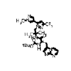 Cn1cc(-c2cc(C(F)(F)F)nn2CC(C)(C)NC(=O)[C@@H](Cc2cnc3ncccn23)NC(=O)OC(C)(C)C)cn1